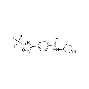 O=C(N[C@H]1CCNC1)c1ccc(-c2noc(C(F)(F)F)n2)cc1